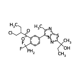 CCC(CCl)S(=O)(=O)c1cc(-c2c(C)nc3sc(C(C)(O)CC)nn23)ccc1C(F)(F)P